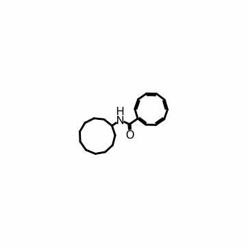 O=C(NC1CCCCCCCCCC1)c1ccccccccc1